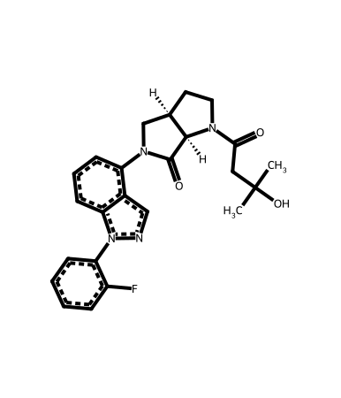 CC(C)(O)CC(=O)N1CC[C@@H]2CN(c3cccc4c3cnn4-c3ccccc3F)C(=O)[C@@H]21